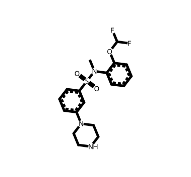 CN(c1ccccc1OC(F)F)S(=O)(=O)c1cccc(N2CCNCC2)c1